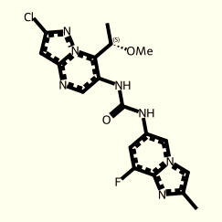 CO[C@@H](C)c1c(NC(=O)Nc2cc(F)c3nc(C)cn3c2)cnc2cc(Cl)nn12